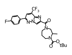 CC1CN(C(=O)c2cn3nc(-c4ccc(F)cc4)cc(C(F)(F)F)c3n2)CCCN1C(=O)OC(C)(C)C